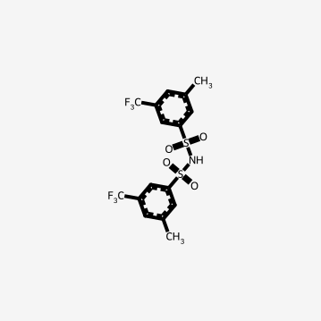 Cc1cc(C(F)(F)F)cc(S(=O)(=O)NS(=O)(=O)c2cc(C)cc(C(F)(F)F)c2)c1